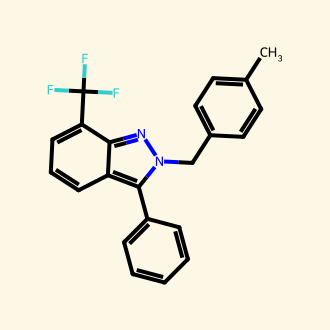 Cc1ccc(Cn2nc3c(C(F)(F)F)cccc3c2-c2ccccc2)cc1